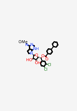 CON=c1nc[nH]c2c1ccn2[C@@H]1O[C@H](C(OC(=O)c2ccc(-c3ccccc3)cc2)c2ccc(Cl)c(Cl)c2)[C@@H](O)[C@H]1O